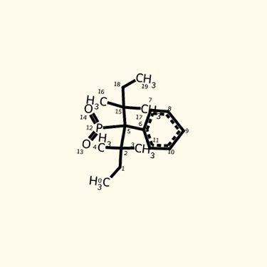 CCC(C)(C)C(c1ccccc1)(P(=O)=O)C(C)(C)CC